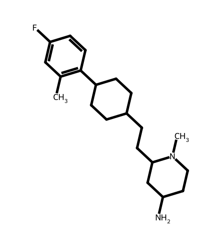 Cc1cc(F)ccc1C1CCC(CCC2CC(N)CCN2C)CC1